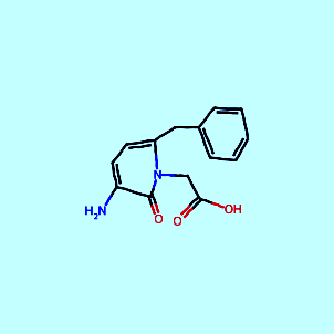 Nc1ccc(Cc2ccccc2)n(CC(=O)O)c1=O